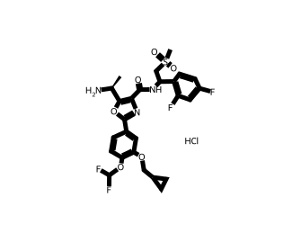 C[C@H](N)c1oc(-c2ccc(OC(F)F)c(OCC3CC3)c2)nc1C(=O)NC(CS(C)(=O)=O)c1ccc(F)cc1F.Cl